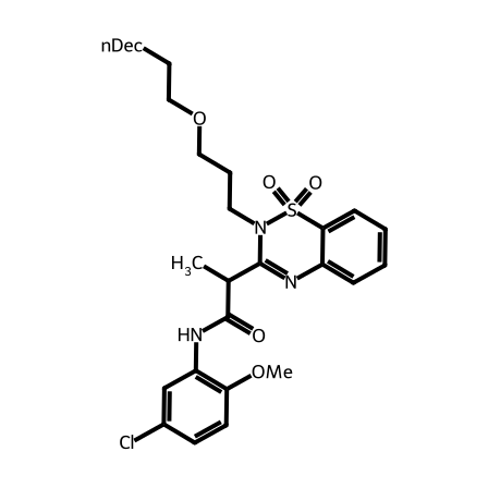 CCCCCCCCCCCCOCCCN1C(C(C)C(=O)Nc2cc(Cl)ccc2OC)=Nc2ccccc2S1(=O)=O